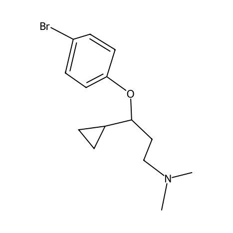 CN(C)CCC(Oc1ccc(Br)cc1)C1CC1